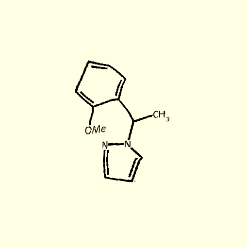 COc1ccccc1C(C)n1c[c]cn1